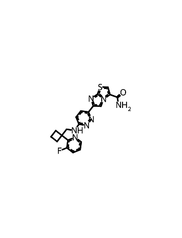 NC(=O)c1csc2nc(-c3ccc(NCC4(c5ncccc5F)CCC4)nn3)cn12